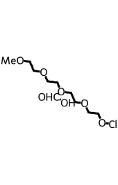 COCCOCCOCCOCCOCl.O=CO